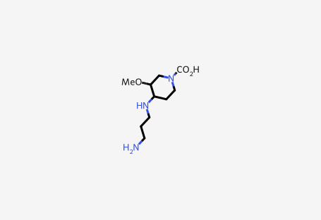 COC1CN(C(=O)O)CCC1NCCCN